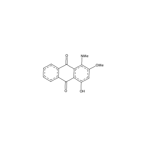 CNc1c(OC)cc(O)c2c1C(=O)c1ccccc1C2=O